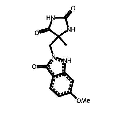 COc1ccc2c(=O)n(CC3(C)NC(=O)NC3=O)[nH]c2c1